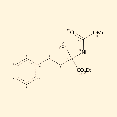 CCCC(CCc1ccccc1)(NC(=O)OC)C(=O)OCC